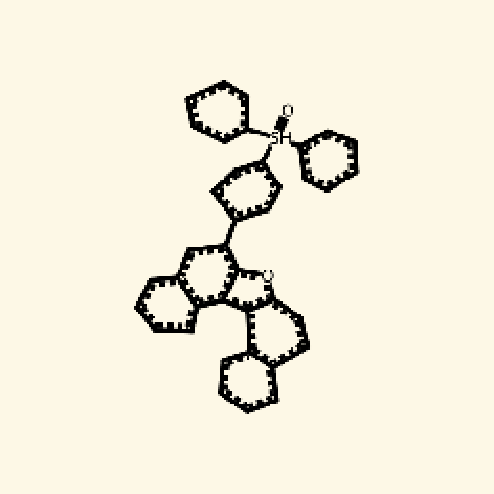 O=[SH](c1ccccc1)(c1ccccc1)c1ccc(-c2cc3ccccc3c3c2oc2ccc4ccccc4c23)cc1